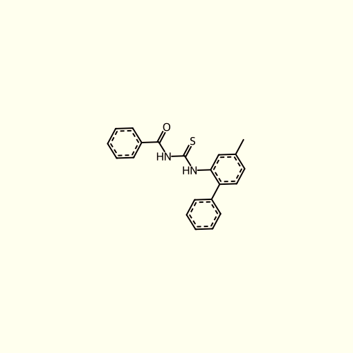 Cc1ccc(-c2ccccc2)c(NC(=S)NC(=O)c2ccccc2)c1